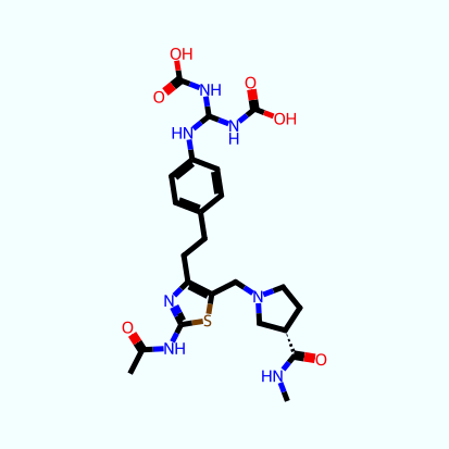 CNC(=O)[C@H]1CCN(Cc2sc(NC(C)=O)nc2CCc2ccc(NC(NC(=O)O)NC(=O)O)cc2)C1